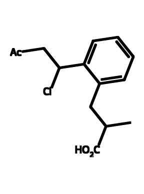 CC(=O)CC(Cl)c1ccccc1CC(C)C(=O)O